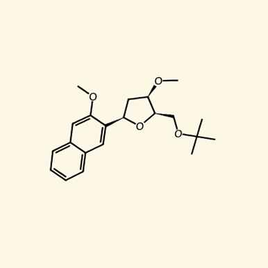 COc1cc2ccccc2cc1[C@H]1C[C@@H](OC)[C@@H](COC(C)(C)C)O1